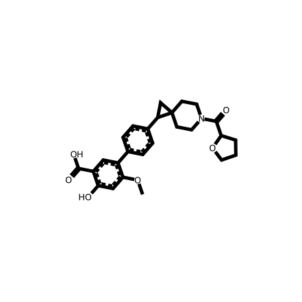 COc1cc(O)c(C(=O)O)cc1-c1ccc(C2CC23CCN(C(=O)C2CCCO2)CC3)cc1